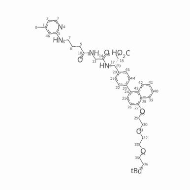 Cc1ccnc(NCCCC(=O)NCC(=O)N[C@H](CC(=O)O)c2ccc(-c3ccc(OCCOCCOCCC(C)(C)C)c4ccccc34)cc2)c1